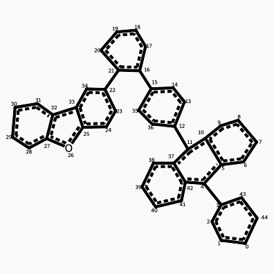 c1ccc(-c2c3ccccc3c(-c3ccc(-c4ccccc4-c4ccc5oc6ccccc6c5c4)cc3)c3ccccc23)cc1